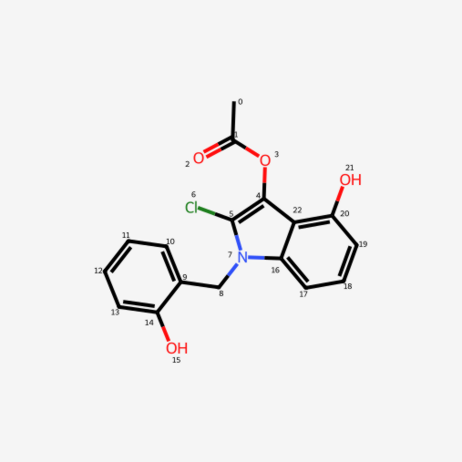 CC(=O)Oc1c(Cl)n(Cc2ccccc2O)c2cccc(O)c12